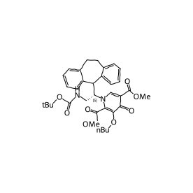 CCCCOc1c(C(=O)OC)n([C@H](CNC(=O)OC(C)(C)C)C2c3ccccc3CCc3ccccc32)cc(C(=O)OC)c1=O